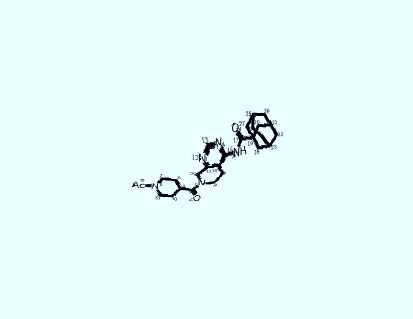 CC(=O)N1CCC(C(=O)N2CCc3c(ncnc3NC(=O)C34CC5CC(CC(C5)C3)C4)C2)CC1